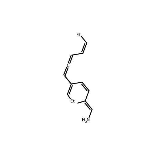 CC/C=C\C=C=CC(/C=C\C(C)=C\N)=C/CC